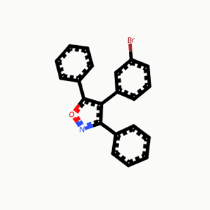 Brc1cccc(-c2c(-c3ccccc3)noc2-c2ccccc2)c1